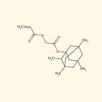 C=CC(=O)OCC(=O)OC12CC3(C)CC(C)(CC(C)(C3)C1C)C2